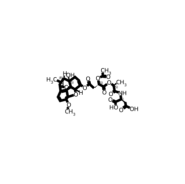 COc1ccc2c3c1O[C@H]1C(OC(=O)C[C@H](OC(C)=O)C(=O)O[C@@H](C)C(=O)N[C@@H](CC(=O)O)C(=O)O)=CC[C@@]4(O)[C@@H](C2)N(C)CC[C@]314